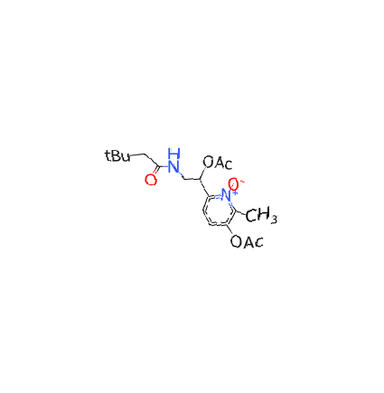 CC(=O)Oc1ccc(C(CNC(=O)CC(C)(C)C)OC(C)=O)[n+]([O-])c1C